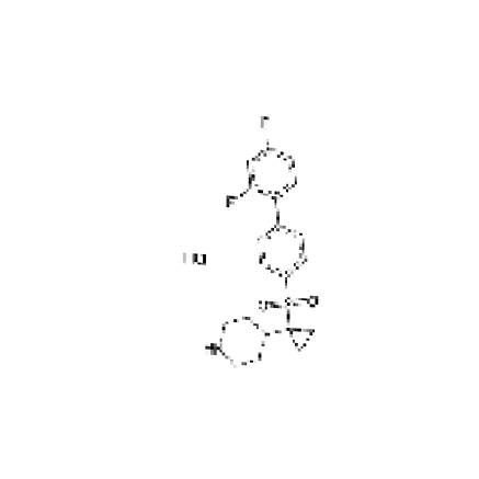 Cl.O=S(=O)(c1ccc(-c2ccc(F)cc2F)cc1)C1(C2CCNCC2)CC1